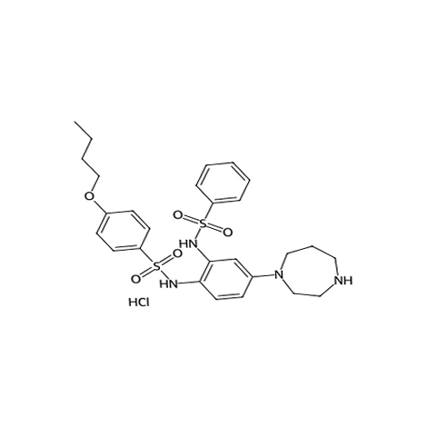 CCCCOc1ccc(S(=O)(=O)Nc2ccc(N3CCCNCC3)cc2NS(=O)(=O)c2ccccc2)cc1.Cl